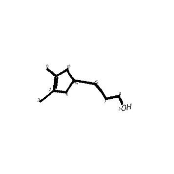 CC1=C(C)CC(CCCO)C1